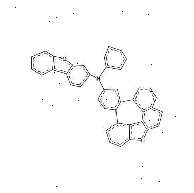 c1ccc(N(c2ccc3c(c2)-c2cccc4ccc5oc6cccc-3c6c5c24)c2ccc3c(c2)oc2ccccc23)cc1